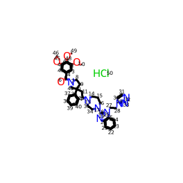 COc1cc(C(=O)N2CCC(CCN3CCCN(c4nc5ccccc5n4CCn4ccnn4)CC3)(c3ccccc3)C2)cc(OC)c1OC.Cl